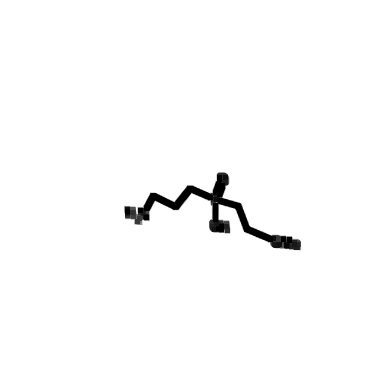 COCCP(=O)(O)CCCN